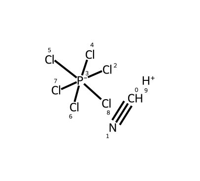 C#N.Cl[P-](Cl)(Cl)(Cl)(Cl)Cl.[H+]